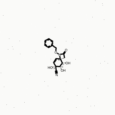 N#C[C@@]1(O)C=C[C@]2(CC(=O)N2OCc2ccccc2)[C@H](O)[C@@H]1O